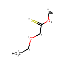 CC(C)(C)OC(=S)COCC(=O)O